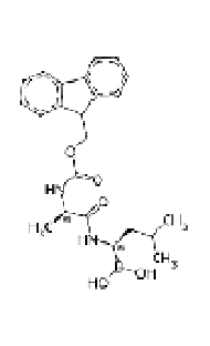 CC(C)C[C@H](NC(=O)[C@@H](C)NC(=O)OCC1c2ccccc2-c2ccccc21)B(O)O